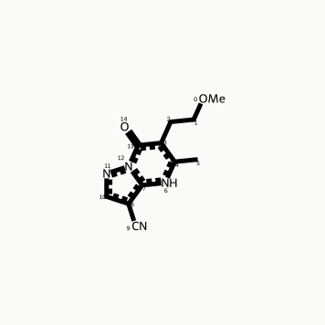 COCCc1c(C)[nH]c2c(C#N)cnn2c1=O